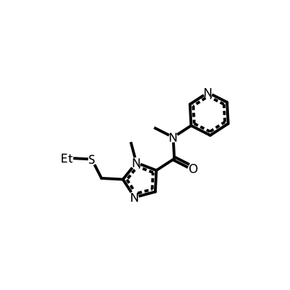 CCSCc1ncc(C(=O)N(C)c2cccnc2)n1C